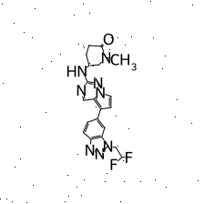 CN1CC(Nc2ncc3c(-c4ccc5nnn(CC(F)F)c5c4)ccn3n2)CCC1=O